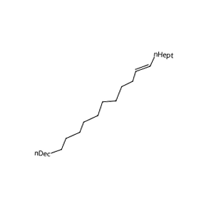 CCCCCCCC=CCCCCCCCCCCCCCCCCCCC